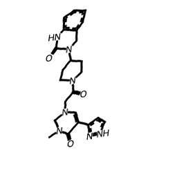 CN1CN(CC(=O)N2CCC(N3Cc4ccccc4NC3=O)CC2)C=C(c2cc[nH]n2)C1=O